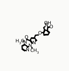 CCN1c2ncc(CCOc3cccc4c3CN(O)C4=O)cc2C(=O)N(C)c2cccnc21